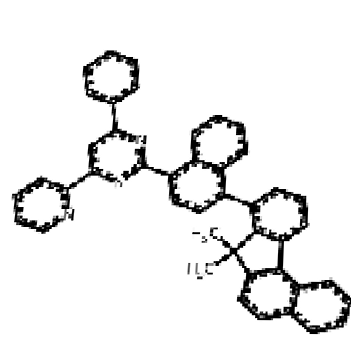 CC1(C)c2ccc3ccccc3c2-c2cccc(-c3ccc(-c4nc(-c5ccccc5)cc(-c5ccccn5)n4)c4ccccc34)c21